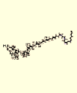 CCCCC/C=C\C/C=C\C/C=C\C/C=C\CCCCCCCC(=O)SCCNC(=O)CCNC(=O)[C@H](O)C(C)(C)COP(=O)(O)OP(=O)(O)OC[C@H]1O[C@@H](n2cnc3c(N)ncnc32)[C@H](O)[C@@H]1OP(=O)(O)O